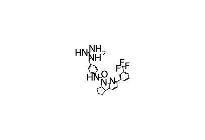 N=C(N)NCc1ccc(NC(=O)N2c3nc(-c4cccc(C(F)(F)F)c4)ccc3C3CCCC32)cc1